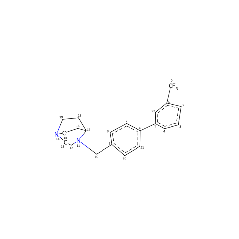 FC(F)(F)c1cccc(-c2ccc(CN3CCN4CCC3CC4)cc2)c1